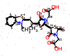 C/C(C=C1Sc2ccccc2N1C)=c1\s/c(=C2/SC(=S)N(CC(=O)O)C2=O)n(CC(=O)O)c1=O